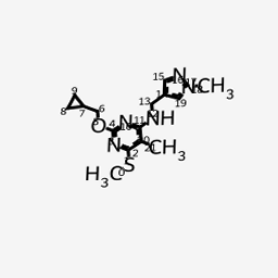 CSc1nc(OCC2CC2)nc(NCc2cnn(C)c2)c1C